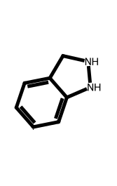 [c]1ccc2c(c1)NNC2